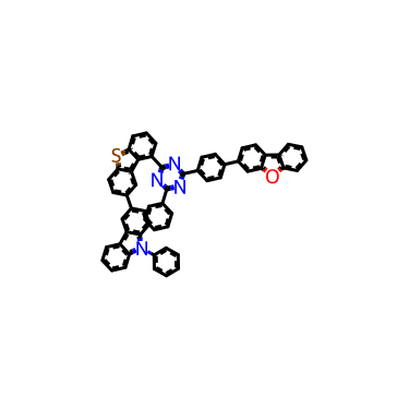 c1ccc(-c2nc(-c3ccc(-c4ccc5c(c4)oc4ccccc45)cc3)nc(-c3cccc4sc5ccc(-c6ccc7c(c6)c6ccccc6n7-c6ccccc6)cc5c34)n2)cc1